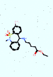 Bc1ccc2c(c1)S(=O)(=O)N(C)c1ccccc1C2NCCCCC(=O)OCC